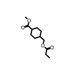 CCC(=O)OCC1CCC(C(=O)OC)CC1